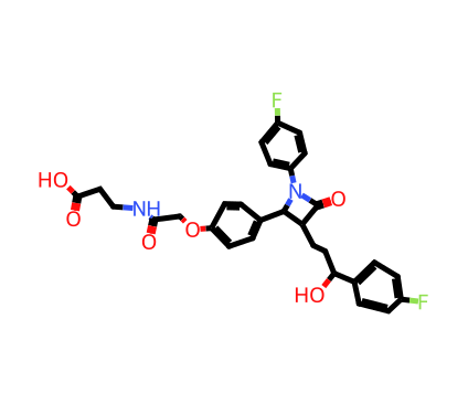 O=C(O)CCNC(=O)COc1ccc(C2C(CCC(O)c3ccc(F)cc3)C(=O)N2c2ccc(F)cc2)cc1